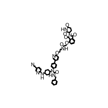 N#Cc1ccc(NC2CCC(N(C(=O)NCc3ccccc3)c3ccc(-c4ccc(OCCNC(=O)COc5cccc6c5C(=O)N(C5CCC(=O)NC5=O)C6=O)nc4)cc3)CC2)nc1